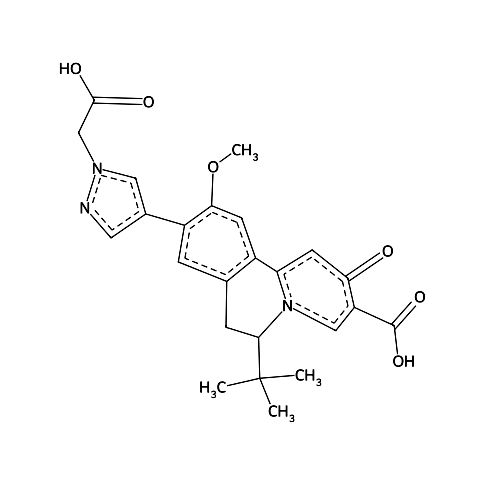 COc1cc2c(cc1-c1cnn(CC(=O)O)c1)CC(C(C)(C)C)n1cc(C(=O)O)c(=O)cc1-2